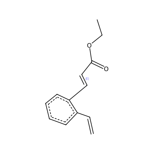 C=Cc1ccccc1/C=C/C(=O)OCC